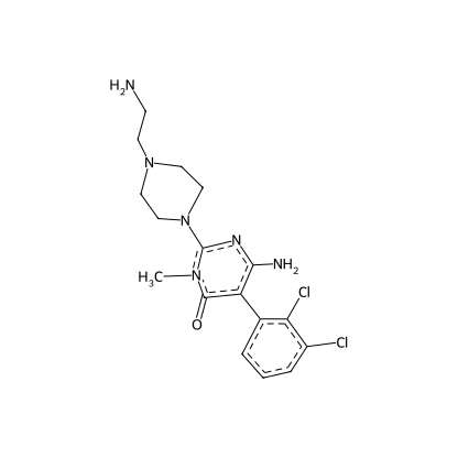 Cn1c(N2CCN(CCN)CC2)nc(N)c(-c2cccc(Cl)c2Cl)c1=O